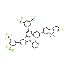 CC1(C)c2cc(F)ccc2-c2ccc(-c3cccc(-c4ccccc4-n4c5ccc(-c6cc(C(F)(F)F)cc(C(F)(F)F)c6)cc5c5cc(-c6cc(C(F)(F)F)cc(C(F)(F)F)c6)ccc54)c3)cc21